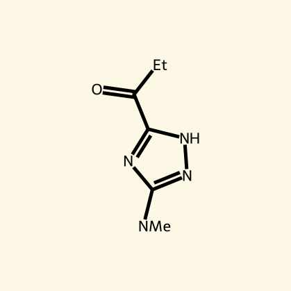 CCC(=O)c1nc(NC)n[nH]1